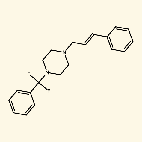 FC(F)(c1ccccc1)N1CCN(CC=Cc2ccccc2)CC1